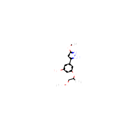 COCC(C)Oc1cc(O)cc(-c2cc(OC)n[nH]2)c1